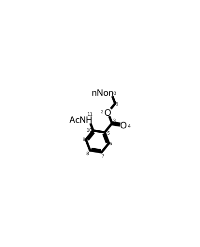 CCCCCCCCCCOC(=O)c1ccccc1NC(C)=O